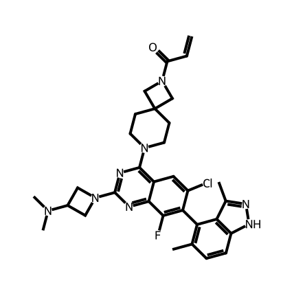 C=CC(=O)N1CC2(CCN(c3nc(N4CC(N(C)C)C4)nc4c(F)c(-c5c(C)ccc6[nH]nc(C)c56)c(Cl)cc34)CC2)C1